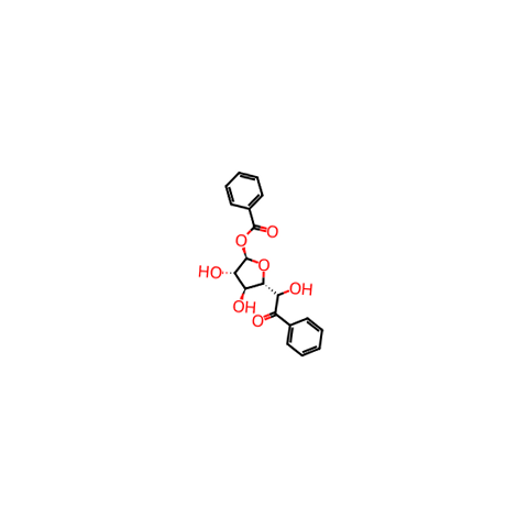 O=C(O[C@H]1O[C@H](C(O)C(=O)c2ccccc2)[C@@H](O)[C@@H]1O)c1ccccc1